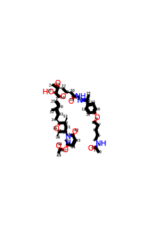 CC(=O)NCCCCCOc1ccc(/C(C)=N/NC(=O)C[C@@H]2C[C@@]3(CO3)[C@H](O)[C@@H](/C=C/C(C)=C/C[C@@H]3O[C@H](C)[C@H](NC(=O)/C=C\[C@H](C)OC(C)=O)C[C@@H]3C)O2)cc1